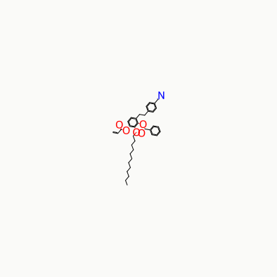 C=CC(=O)Oc1ccc(CCc2ccc(C#N)cc2)c(OC(=O)c2ccccc2)c1OCCCCCCCCCCCC